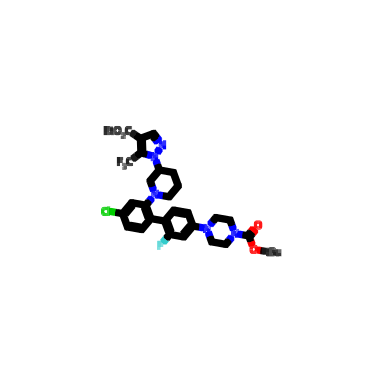 CCOC(=O)c1cnn(C2CCCN(c3cc(Cl)ccc3-c3ccc(N4CCN(C(=O)OC(C)(C)C)CC4)cc3F)C2)c1C(F)(F)F